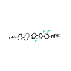 CCCCCCCCCCc1ccc(-c2ccc(-c3ccc(C4=CCC(C5CCC(CCC)CC5)CC4)cc3F)cc2)c(F)c1F